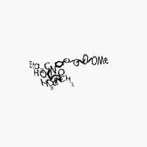 CCOC(=O)c1c(O)c(O)c(C(=O)N(C)C)n1-c1ccc(OCCOCCOCCOC)cc1